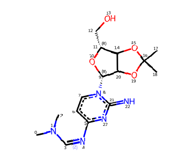 CN(C)/C=N\c1ccn([C@@H]2O[C@H](CO)C3OC(C)(C)OC32)c(=N)n1